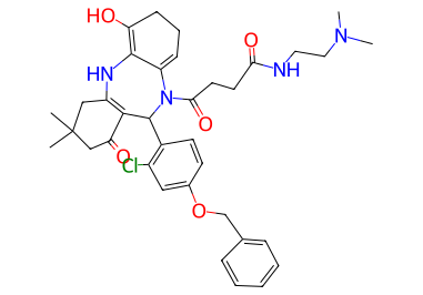 CN(C)CCNC(=O)CCC(=O)N1C2=CCCC(O)=C2NC2=C(C(=O)CC(C)(C)C2)C1c1ccc(OCc2ccccc2)cc1Cl